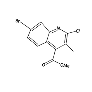 COC(=O)c1c(C)c(Cl)nc2cc(Br)ccc12